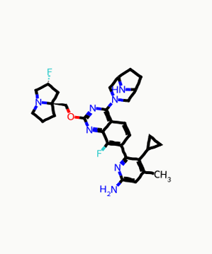 Cc1cc(N)nc(-c2ccc3c(N4CC5CCC(C4)N5)nc(OC[C@@]45CCCN4C[C@H](F)C5)nc3c2F)c1C1CC1